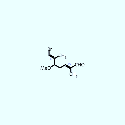 COC(C/C=C(\C)C=O)/C(C)=C/Br